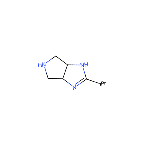 CC(C)C1=NC2CNCC2N1